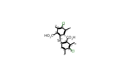 Cc1cc([Se]c2cc(C)c(Cl)c(C)c2C(=O)O)c(C(=O)O)c(C)c1Cl